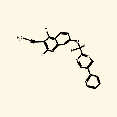 Fc1cc2cc(OC(F)(F)c3ncc(-c4ccccc4)cn3)ccc2c(F)c1C#CC(F)(F)F